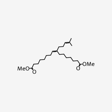 COC(=O)CCCCCC/C=C(/CCC=C(C)C)CCCCCCC(=O)OC